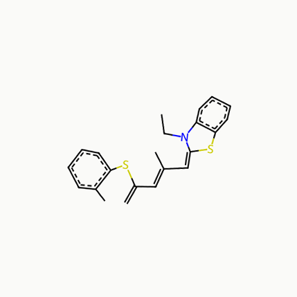 C=C(/C=C(C)/C=C1/Sc2ccccc2N1CC)Sc1ccccc1C